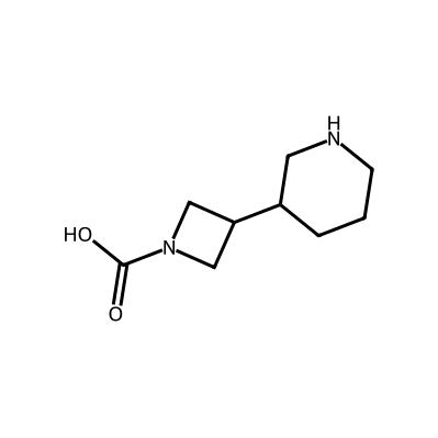 O=C(O)N1CC(C2CCCNC2)C1